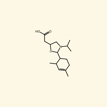 CC1=CC(C)C(C2OC(CC(=O)O)CN2C(C)C)CC1